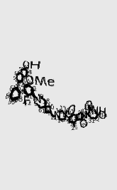 COc1cc(N2CCC3(CC2)CC(CN2CCC4(CC2)COc2c4cc(C)c4c2CN(C2CCC(=O)NC2=O)C4=O)C3)c(F)cc1[C@@H]1c2ccc(O)cc2CC[C@@H]1c1ccccc1